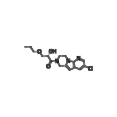 CCCOC[C@H](O)C(=O)N1CCn2c(cc3cc(Cl)cnc32)C1